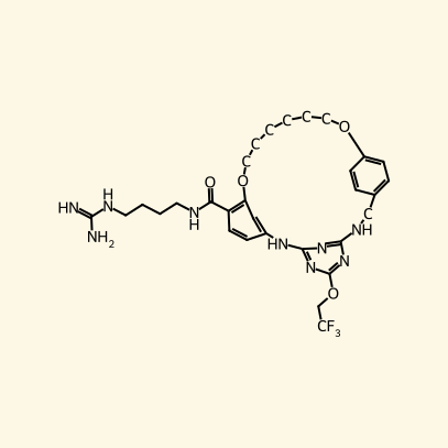 N=C(N)NCCCCNC(=O)c1ccc2cc1OCCCCCCOc1ccc(cc1)CNc1nc(nc(OCC(F)(F)F)n1)N2